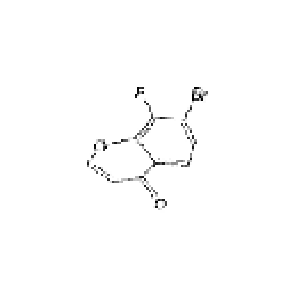 O=c1ccoc2c(F)c(Br)ccc12